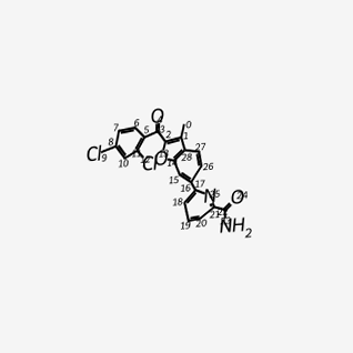 Cc1c(C(=O)c2ccc(Cl)cc2Cl)oc2cc(-c3cccc(C(N)=O)n3)ccc12